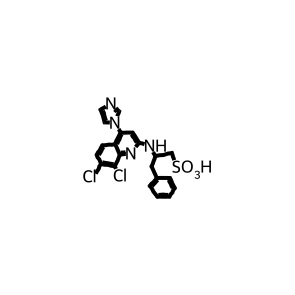 O=S(=O)(O)CC(Cc1ccccc1)Nc1cc(-n2ccnc2)c2ccc(Cl)c(Cl)c2n1